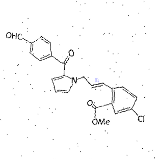 COC(=O)c1cc(Cl)ccc1/C=C/Cn1cccc1C(=O)c1ccc(C=O)cc1